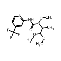 COC(OC)C(C)N(OC)C(=O)Nc1cc(C(F)(F)F)ccn1